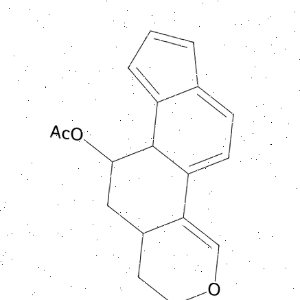 CC(=O)OC1CC2CCOC=C2C2=CC=C3C=CC=C3C21